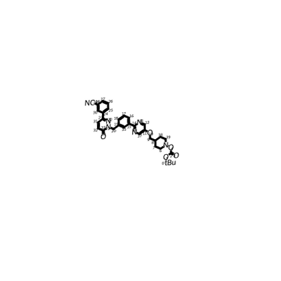 CC(C)(C)OC(=O)ON1CCC(COc2cnc(-c3cccc(Cn4nc(-c5cccc(C#N)c5)ccc4=O)c3)nc2)CC1